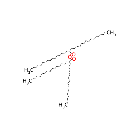 CCCCCCCCC=CCCCCCCC(CCCCCCCCCCCCCCCC)C(=O)OC(=O)C(CCCCCCC=CCCCCCCCC)CCCCCCCCCCCCCCCC